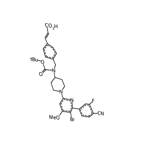 COc1cc(N2CCC(N(Cc3ccc(/C=C/C(=O)O)cc3)C(=O)OC(C)(C)C)CC2)nc(-c2ccc(C#N)c(F)c2)c1Br